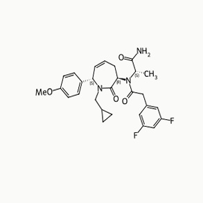 COc1ccc([C@@H]2C=CC[C@@H](N(C(=O)Cc3cc(F)cc(F)c3)[C@@H](C)C(N)=O)C(=O)N2CC2CC2)cc1